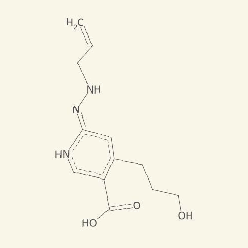 C=CCNN=c1cc(CCCO)c(C(=O)O)c[nH]1